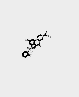 O=C(N1CCN(c2cc(Br)cc3c2c(C(F)F)cn3S(=O)(=O)c2ccccc2Cl)CC1)C(F)(F)F